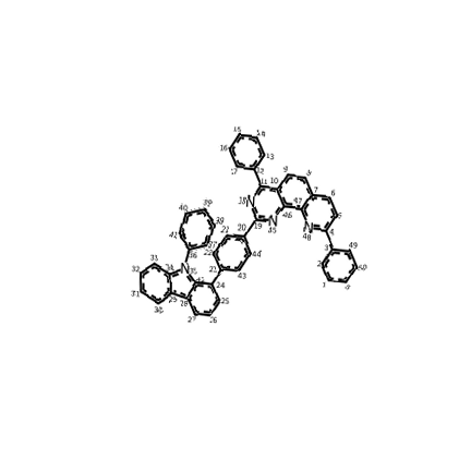 c1ccc(-c2ccc3ccc4c(-c5ccccc5)nc(-c5ccc(-c6cccc7c8ccccc8n(-c8ccccc8)c67)cc5)nc4c3n2)cc1